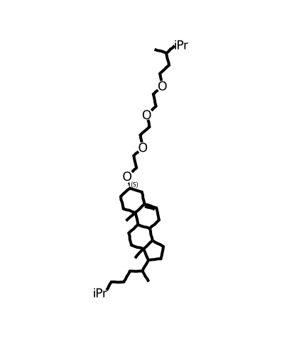 CC(C)CCCC(C)C1CCC2C3CC=C4C[C@@H](OCCOCCOCCOCCC(C)C(C)C)CCC4(C)C3CCC12C